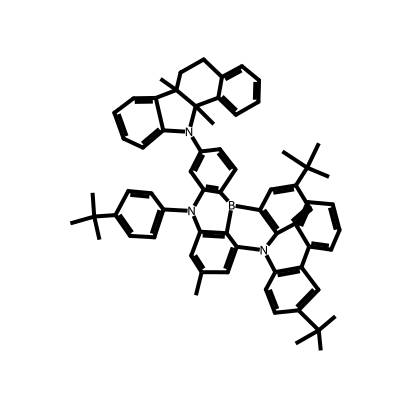 Cc1cc2c3c(c1)N(c1ccc(C(C)(C)C)cc1-c1ccccc1)c1ccc(C(C)(C)C)cc1B3c1ccc(N3c4ccccc4C4(C)CCc5ccccc5C34C)cc1N2c1ccc(C(C)(C)C)cc1